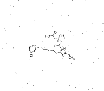 CCc1nc(C(=O)C[C@H](C)CC(=O)O)c(CCCCCCc2cccc(Cl)c2)o1